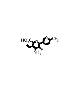 C=Cc1c(C(=O)O)nc(-c2ccc(C(F)(F)F)nc2)c(F)c1N